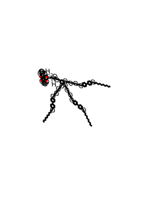 CCCCCCCCCCOc1ccc(-c2ccc(OCCOCCOCCOc3cc(COC(=O)NCC[SiH2]O[Si]45O[Si](C)(C)O[Si](C)(C)O[Si](C)(C[Si]6(C)O[Si](C)(C)O[Si](C)(C)O[Si](C)(O6)O4)O5)cc(OCCOCCOCCOc4ccc(-c5ccc(OCCCCCCCCCC)cc5)cc4)c3OCCOCCOCCOc3ccc(-c4ccc(OCCCCCCCCCC)cc4)cc3)cc2)cc1